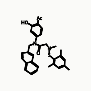 CC(=O)c1ccc(N(Cc2ccc3ccccc3c2)C(=O)CN(C)Sc2c(C)cc(C)cc2C)cc1O